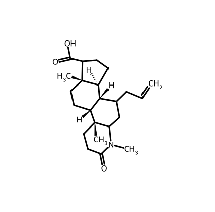 C=CCC1CC2N(C)C(=O)CC[C@]2(C)[C@@H]2CC[C@]3(C)C(C(=O)O)CC[C@H]3[C@H]12